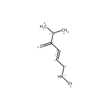 CCNC/C=C/C(=O)N(C)C